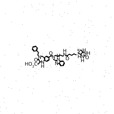 O=C(O)CC1Nc2ccc(C(=O)N(CCCCNC(=O)CCCC[C@@H]3SC[C@@H]4NC(=O)N[C@@H]43)Cc3nc4ccccc4[nH]3)cc2CN(CCc2ccccc2)C1=O